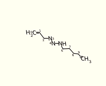 C=CC/N=N/NCCCCC